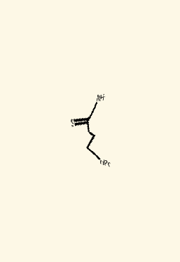 CCCCCC([NH])=S